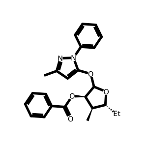 CC[C@H]1OC(Oc2cc(C)nn2-c2ccccc2)[C@H](OC(=O)c2ccccc2)[C@@H]1C